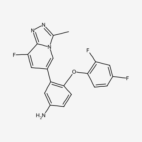 Cc1nnc2c(F)cc(-c3cc(N)ccc3Oc3ccc(F)cc3F)cn12